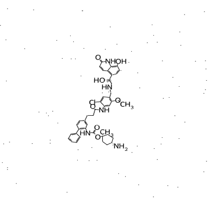 COc1cc(NC(=O)CCc2ccc(-c3ccccc3)c(NC(=O)O[C@]3(C)CC[C@@H](N)CC3)c2)c(Cl)cc1CNC[C@H](O)c1ccc(O)c2[nH]c(=O)ccc12